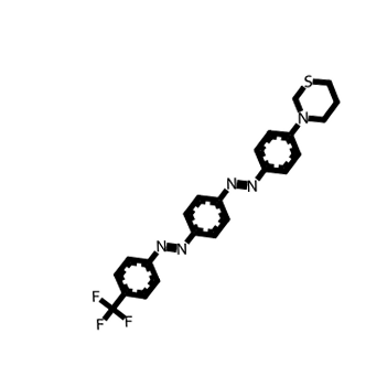 FC(F)(F)c1ccc(N=Nc2ccc(N=Nc3ccc(N4CCCSC4)cc3)cc2)cc1